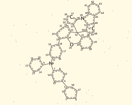 c1ccc(-c2ccc(N(c3ccccc3)c3ccc(-c4cccc5c4Oc4ccccc4C54c5ccccc5-n5c6ccccc6c6cccc4c65)cc3)cc2)cc1